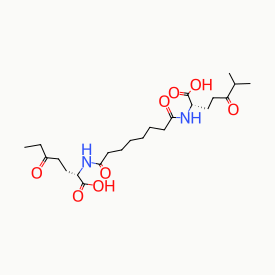 CCC(=O)CC[C@H](NC(=O)CCCCCCC(=O)N[C@@H](CCC(=O)C(C)C)C(=O)O)C(=O)O